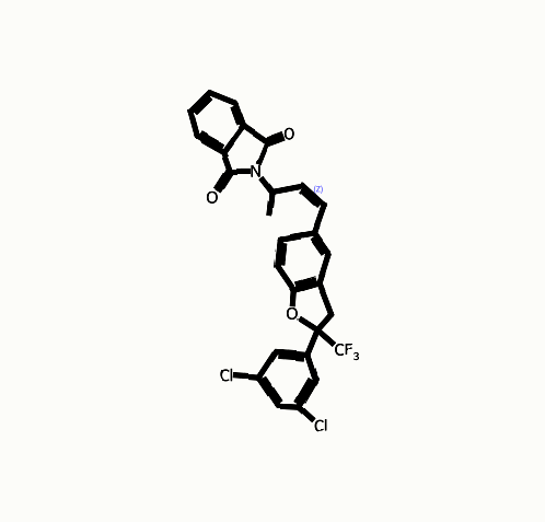 CC(/C=C\c1ccc2c(c1)CC(c1cc(Cl)cc(Cl)c1)(C(F)(F)F)O2)N1C(=O)c2ccccc2C1=O